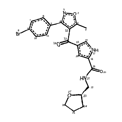 Cc1onc(-c2ccc(Br)cc2)c1C(=O)c1c[nH]c(C(=O)NC[C@H]2CCCO2)c1